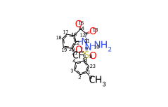 Cc1cccc(S(=O)(=O)N(N)N2C(=O)C(=O)c3cccc(C(F)(F)F)c32)c1